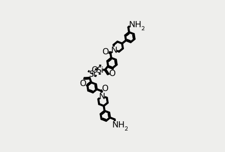 C[Si](C)(O[Si](C)(C)c1coc2ccc(C(=O)N3CCC(c4cccc(CN)c4)CC3)cc12)c1coc2ccc(C(=O)N3CCC(c4cccc(CN)c4)CC3)cc12